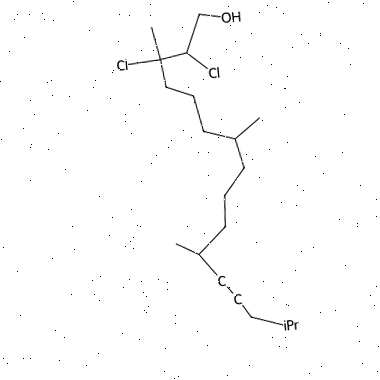 CC(C)CCCC(C)CCCC(C)CCCC(C)(Cl)C(Cl)CO